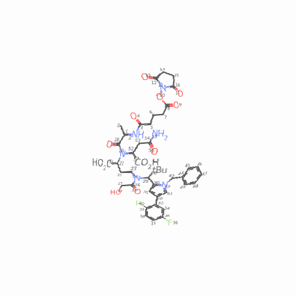 CC(NC(=O)CCCC(=O)ON1C(=O)CCC1=O)C(=O)N(C(CCN(C(=O)CO)C(c1cc(-c2cc(F)ccc2F)cn1Cc1ccccc1)C(C)(C)C)C(=O)O)C(CC(N)=O)C(=O)O